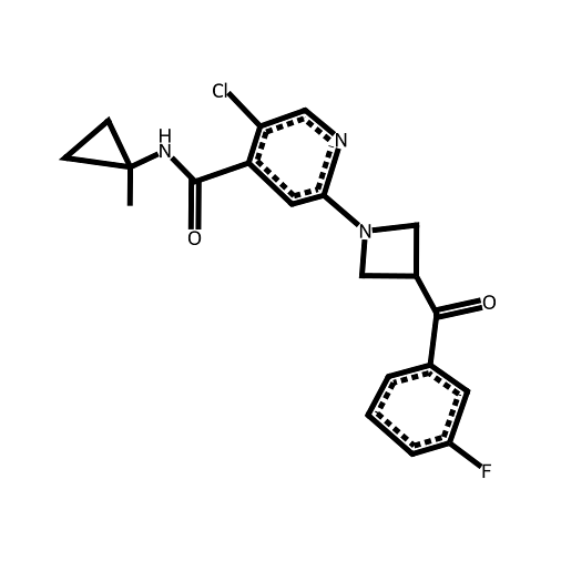 CC1(NC(=O)c2cc(N3CC(C(=O)c4cccc(F)c4)C3)ncc2Cl)CC1